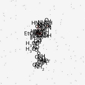 CCOC(=O)[C@@H]1CCCN1C(=O)[C@H](CCCNC(=N)N)NC(=O)[C@H](CC(C)C)NC(=O)[C@H](CC(C)C)NC(=O)[C@H](Cc1ccc(OC(=O)N(C)CCN(C)C(=O)OCc2ccc(NC(=O)[C@H](CCCNC(N)=O)NC(=O)[C@@H](NC(C)C)C(C)C)cc2)cc1)NC(=O)[C@H](CO)NC(=O)[C@H](Cc1c[nH]c2ccccc12)NC(=O)[C@H](Cc1c[nH]cn1)NC(=O)C1CCC(=O)N1